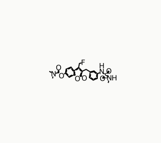 CNS(=O)(=O)Nc1cccc(Cc2c(CF)c3ccc(OC(=O)N(C)C)cc3oc2=O)c1